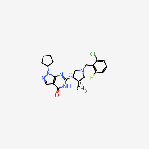 C[C@@H]1CN(Cc2c(F)cccc2Cl)C[C@H]1c1nc2c(cnn2C2CCCC2)c(=O)[nH]1